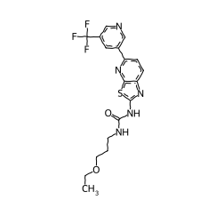 CCOCCCNC(=O)Nc1nc2ccc(-c3cncc(C(F)(F)F)c3)nc2s1